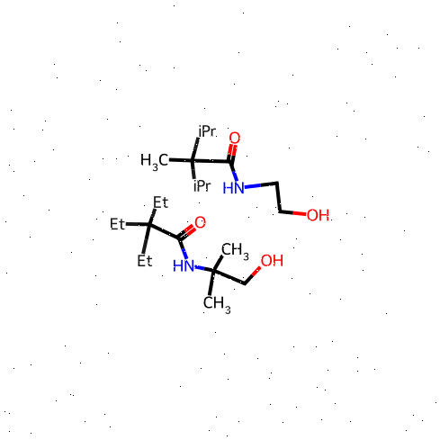 CC(C)C(C)(C(=O)NCCO)C(C)C.CCC(CC)(CC)C(=O)NC(C)(C)CO